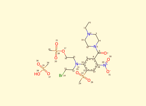 CCN1CCN(C(=O)c2cc(N(CCBr)CCOS(C)(=O)=O)c(S(C)(=O)=O)cc2[N+](=O)[O-])CC1.CS(=O)(=O)O